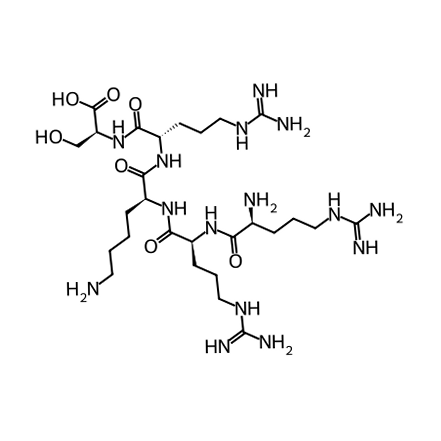 N=C(N)NCCC[C@H](NC(=O)[C@H](CCCCN)NC(=O)[C@H](CCCNC(=N)N)NC(=O)[C@@H](N)CCCNC(=N)N)C(=O)N[C@@H](CO)C(=O)O